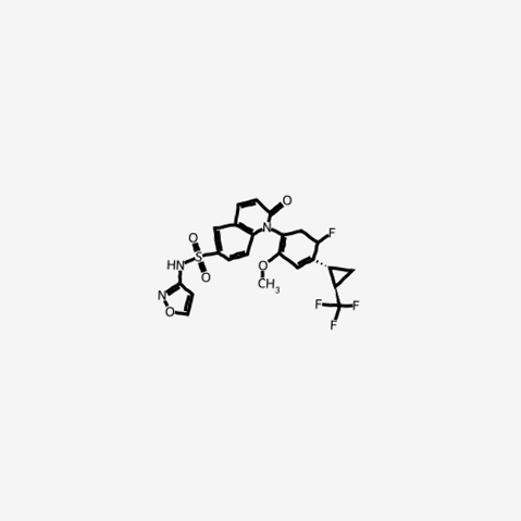 COC1=C(n2c(=O)ccc3cc(S(=O)(=O)Nc4ccon4)ccc32)CC(F)C([C@@H]2C[C@H]2C(F)(F)F)=C1